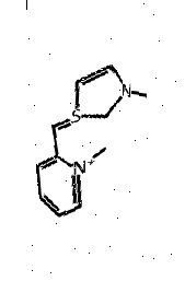 CN1C=CS(=Cc2cccc[n+]2C)C1